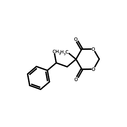 CC(CC1(C)C(=O)OCOC1=O)c1ccccc1